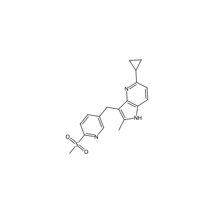 Cc1[nH]c2ccc(C3CC3)nc2c1Cc1ccc(S(C)(=O)=O)nc1